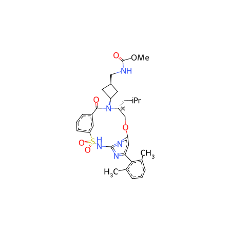 COC(=O)NC[C@H]1C[C@@H](N2C(=O)c3cccc(c3)S(=O)(=O)Nc3nc(cc(-c4c(C)cccc4C)n3)OC[C@H]2CC(C)C)C1